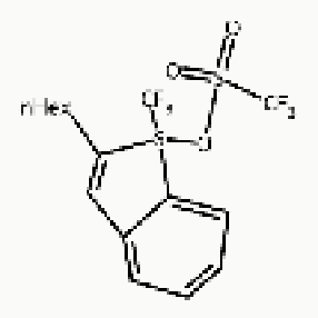 CCCCCCC1=Cc2ccccc2S1(OS(=O)(=O)C(F)(F)F)C(F)(F)F